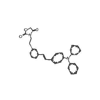 O=C1COC(=O)N1CCc1cccc(C=Cc2ccc(N(c3ccccc3)c3ccccc3)cc2)c1